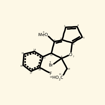 COC1=C2C=CC=C2OC(Br)(CC(=O)O)C1c1ccccc1F